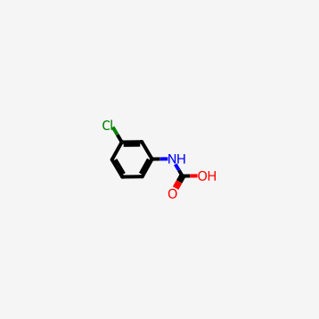 O=C(O)Nc1cccc(Cl)c1